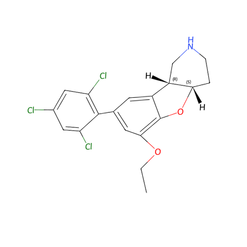 CCOc1cc(-c2c(Cl)cc(Cl)cc2Cl)cc2c1O[C@H]1CCNC[C@@H]21